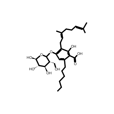 CCCCCCc1cc(OC2O[C@H](O)[C@@H](O)[C@H](O)[C@H]2CO)c(C/C=C(\C)CCC=C(C)C)c(O)c1C(=O)O